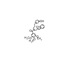 COc1cc(C(=O)N(CCCN2CC[C@@H](O)C2)CC(C)=Cc2ccccc2)cc(OC)c1OC